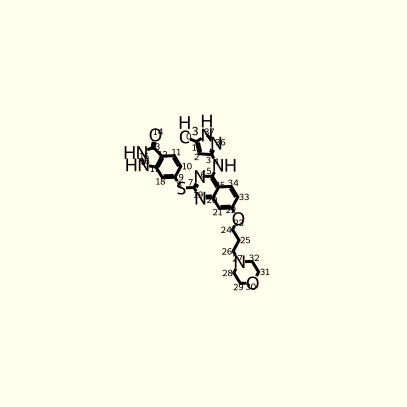 Cc1cc(Nc2nc(Sc3ccc4c(=O)[nH][nH]c4c3)nc3cc(OCCCN4CCOCC4)ccc23)n[nH]1